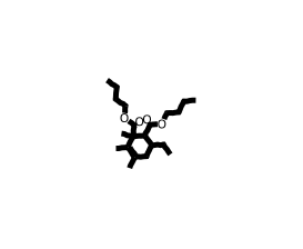 CCCCOC(=O)C1C(CC)CC(C)=C(C)C1(C)C(=O)OCCCC